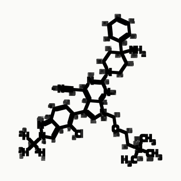 [2H]C([2H])([2H])n1cc2c(Cl)c(-c3cn(COCC[Si](C)(C)C)c4nc(N5CCC(N)(c6ccccc6)CC5)nc(C#N)c34)ccc2n1